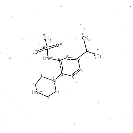 CC(C)c1ccc(N2CCNCC2)c(NS(C)(=O)=O)c1